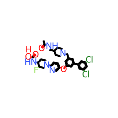 CC(=O)NCC1CCN(Cc2cc(Oc3ccc(N4CCC(NC(=O)O)C(F)C4)nc3)cc(-c3cc(Cl)cc(Cl)c3)c2)CC1